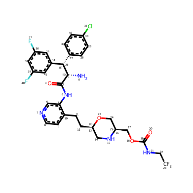 N[C@H](C(=O)Nc1cnccc1CC[C@@H]1CN[C@H](COC(=O)NCC(F)(F)F)CO1)[C@@H](c1ccc(Cl)cc1)c1cc(F)cc(F)c1